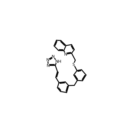 C(=Cc1nnn[nH]1)c1cccc(Cc2cccc(SCc3ccc4ccccc4n3)c2)c1